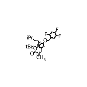 CC(C)CCn1nc(CN(C)C(=O)OC(C)(C)C)cc1OCc1cc(F)c(F)cc1F